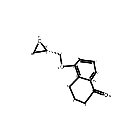 O=C1CCCc2c(OC[C@@H]3CO3)cccc21